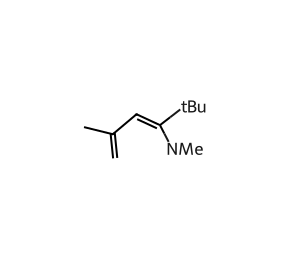 C=C(C)/C=C(\NC)C(C)(C)C